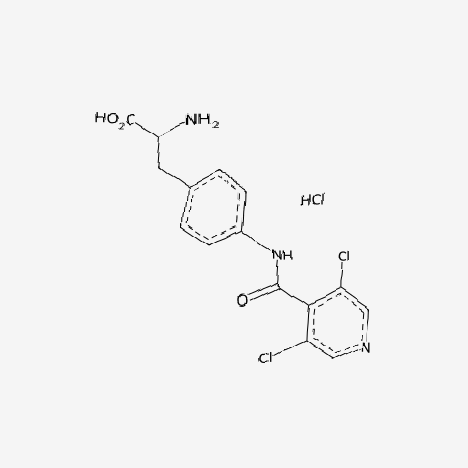 Cl.NC(Cc1ccc(NC(=O)c2c(Cl)cncc2Cl)cc1)C(=O)O